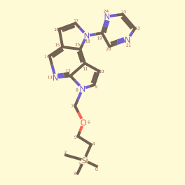 C[Si](C)(C)CCOCn1ccc2c1ncc1ccn(-c3cnccn3)c12